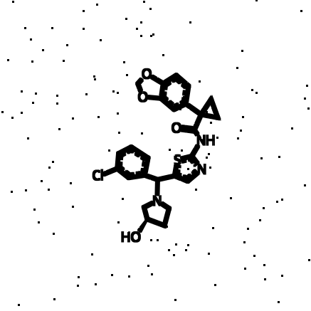 O=C(Nc1ncc(C(c2cccc(Cl)c2)N2CC[C@@H](O)C2)s1)C1(c2ccc3c(c2)OCO3)CC1